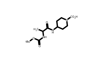 CC(NC(=O)OC(C)(C)C)C(=O)NC1CCN(C(=O)O)CC1